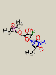 Cc1cn([C@H]2O[C@@H](COCP(C)(C)=O)[C@H](O)[C@H]2F)c(=O)[nH]c1=O